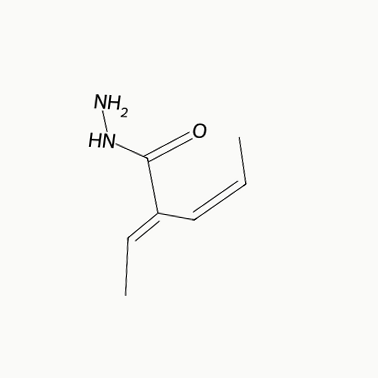 C/C=C\C(=C/C)C(=O)NN